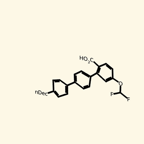 CCCCCCCCCCc1ccc(-c2ccc(-c3cc(OC(F)F)ccc3C(=O)O)cc2)cc1